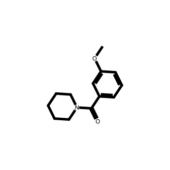 COc1cccc(C(=O)N2CCCCC2)c1